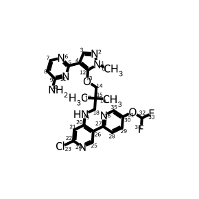 Cn1ncc(-c2nccc(N)n2)c1OCC(C)(C)CNc1cc(Cl)ncc1-c1ccc(OC(F)F)cn1